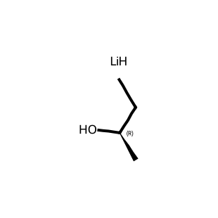 CC[C@@H](C)O.[LiH]